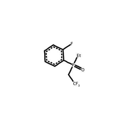 CCP(=O)(CC(F)(F)F)c1ccccc1F